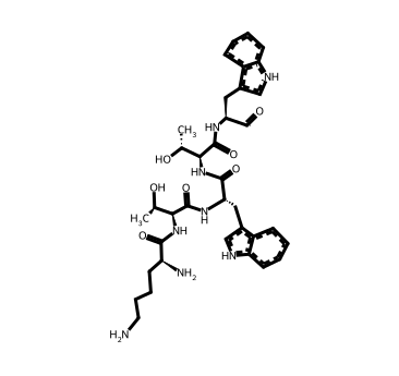 C[C@@H](O)[C@H](NC(=O)[C@H](Cc1c[nH]c2ccccc12)NC(=O)[C@@H](NC(=O)[C@@H](N)CCCCN)[C@@H](C)O)C(=O)N[C@H]([C]=O)Cc1c[nH]c2ccccc12